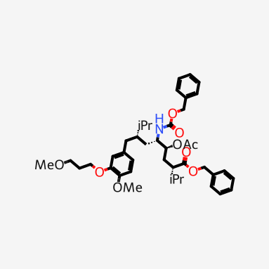 COCCCOc1cc(C[C@@H](C[C@H](NC(=O)OCc2ccccc2)[C@H](C[C@H](C(=O)OCc2ccccc2)C(C)C)OC(C)=O)C(C)C)ccc1OC